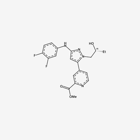 CC[C@@H](O)Cn1nc(Nc2ccc(F)c(F)c2)cc1-c1ccnc(C(=O)OC)c1